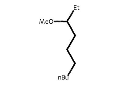 [CH2]CC(CCCCCCC)OC